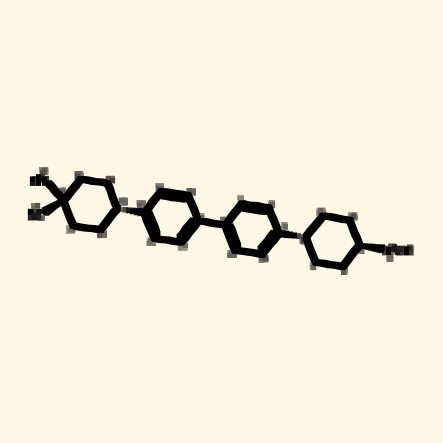 CCCCC[C@H]1CC[C@H](c2ccc(-c3ccc([C@H]4CC[C@@](C#N)(CCC)CC4)cc3)cc2)CC1